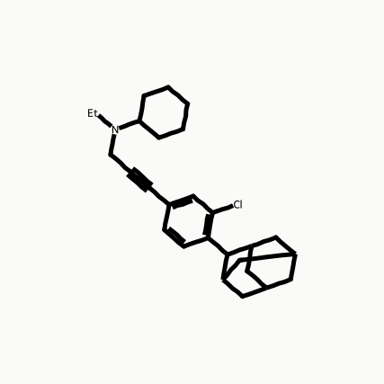 CCN(CC#Cc1ccc(C2C3CC4CC(C3)CC2C4)c(Cl)c1)C1CCCCC1